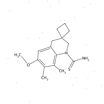 COc1cc2c(c(C)c1C)N(C(N)=S)CC1(CCC1)C2